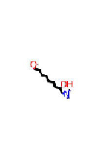 CN(C)CC(O)CCCCCCC[O]